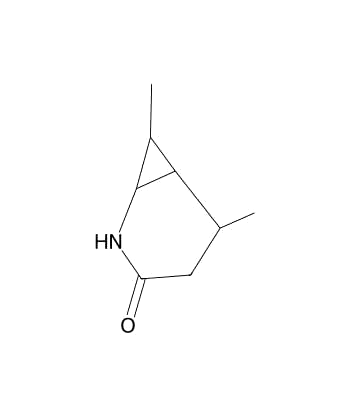 CC1CC(=O)NC2C(C)C12